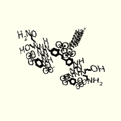 NC(=O)CCN(CCO)c1nc(Nc2ccc(C=Cc3ccc(Nc4nc(Nc5cc(S(=O)(=O)[O-])ccc5S(=O)(=O)[O-])nc(N(CCO)CCC(N)=O)n4)cc3S(=O)(=O)[O-])c(S(=O)(=O)[O-])c2)nc(Nc2cc(S(=O)(=O)[O-])ccc2S(=O)(=O)[O-])n1.[Na+].[Na+].[Na+].[Na+].[Na+].[Na+]